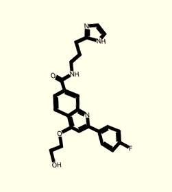 O=C(NCCCc1ncc[nH]1)c1ccc2c(OCCO)cc(-c3ccc(F)cc3)nc2c1